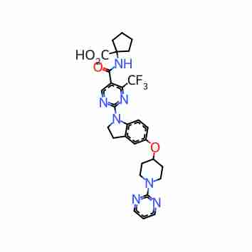 O=C(NC1(C(=O)O)CCCC1)c1cnc(N2CCc3cc(OC4CCN(c5ncccn5)CC4)ccc32)nc1C(F)(F)F